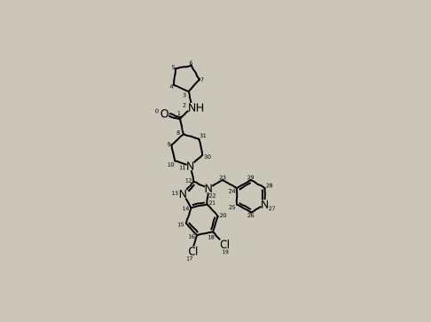 O=C(NC1CCCC1)C1CCN(c2nc3cc(Cl)c(Cl)cc3n2Cc2ccncc2)CC1